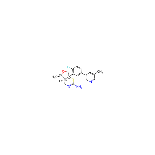 Cc1cncc(-c2ccc(F)c([C@]34CO[C@H](C)[C@@H]3CN=C(N)S4)c2)c1